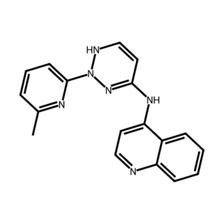 Cc1cccc(N2N=C(Nc3ccnc4ccccc34)C=CN2)n1